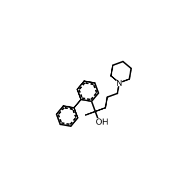 CC(O)(CCCN1CCCCC1)c1ccccc1-c1ccccc1